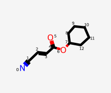 N#CC=CC(=O)OC1CCCCC1